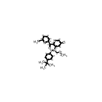 COCN(Sc1ccc(C(C)(C)C)cc1)c1cc(Cl)cnc1C(=O)c1cccc(N)n1